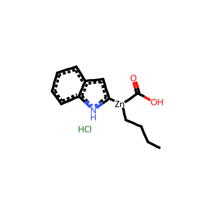 CCC[CH2][Zn]([C](=O)O)[c]1cc2ccccc2[nH]1.Cl